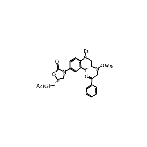 CCN(CCN(CC(=O)c1ccccc1)OC)c1ccc(N2C[C@H](CNC(C)=O)OC2=O)cc1F